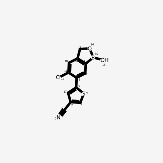 N#Cc1csc(-c2cc3c(cc2Cl)COB3O)c1